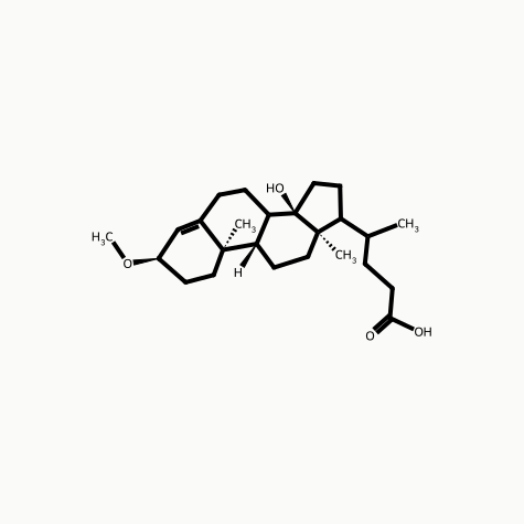 CO[C@H]1C=C2CCC3[C@H](CC[C@]4(C)C(C(C)CCC(=O)O)CC[C@@]34O)[C@@]2(C)CC1